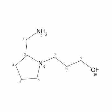 NCC1CCCN1CCCO